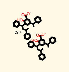 CC(CC(c1ccccc1)c1cc(C(C)c2ccccc2)cc(C(=O)[O-])c1O)c1ccccc1.CC(CC(c1ccccc1)c1cc(C(C)c2ccccc2)cc(C(=O)[O-])c1O)c1ccccc1.[Zn+2]